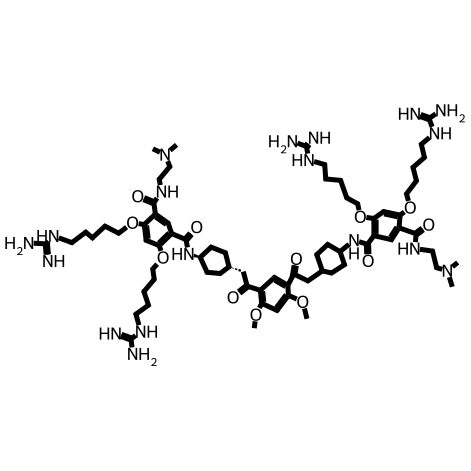 COc1cc(OC)c(C(=O)C[C@H]2CC[C@H](NC(=O)c3cc(C(=O)NCCN(C)C)c(OCCCCCNC(=N)N)cc3OCCCCCNC(=N)N)CC2)cc1C(=O)CC1CCC(NC(=O)c2cc(C(=O)NCCN(C)C)c(OCCCCCNC(=N)N)cc2OCCCCCNC(=N)N)CC1